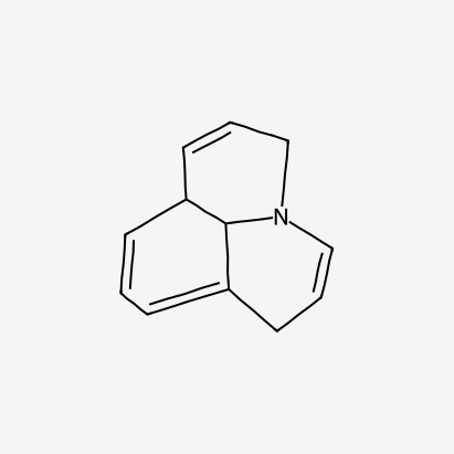 C1=CC2C=CCN3C=CCC(=C1)C23